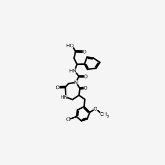 COc1ccc(Cl)cc1CC1CNC(=O)CN(C(=O)NC(CC(=O)O)c2ccccc2)C1=O